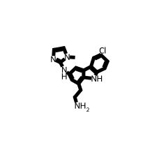 Cn1ccnc1Nc1cc(CCN)c2[nH]c3ccc(Cl)cc3c2c1